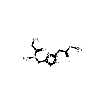 CCC(=O)N(C)Cc1cnc(CC(=O)OC)o1